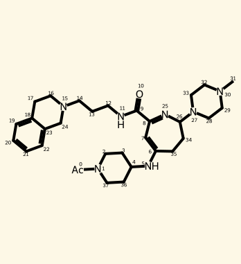 CC(=O)N1CCC(NC2=CC(C(=O)NCCCN3CCc4ccccc4C3)=NC(N3CCN(C)CC3)CC2)CC1